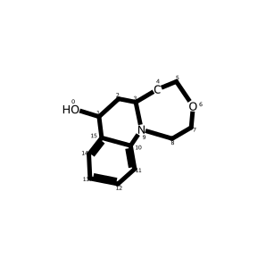 OC1CC2CCOCCN2c2ccccc21